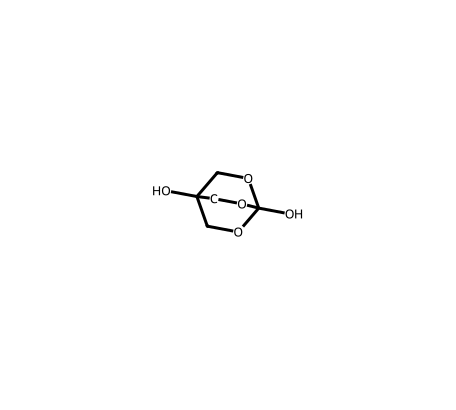 OC12COC(O)(OC1)OC2